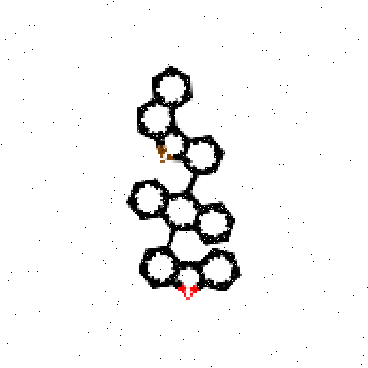 c1ccc2c(c1)ccc1sc3c(-c4c5ccccc5c(-c5cccc6oc7ccccc7c56)c5ccccc45)cccc3c12